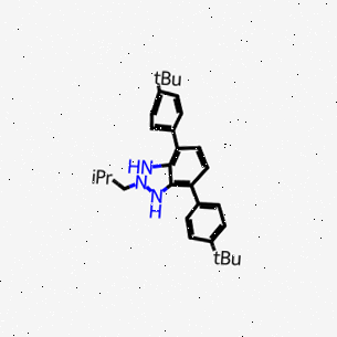 CC(C)CN1Nc2c(-c3ccc(C(C)(C)C)cc3)ccc(-c3ccc(C(C)(C)C)cc3)c2N1